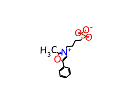 Cc1oc(-c2ccccc2)c[n+]1CCCCS(=O)(=O)[O-]